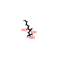 CCCCC(O)C(C)(O)CC(C)(C)O